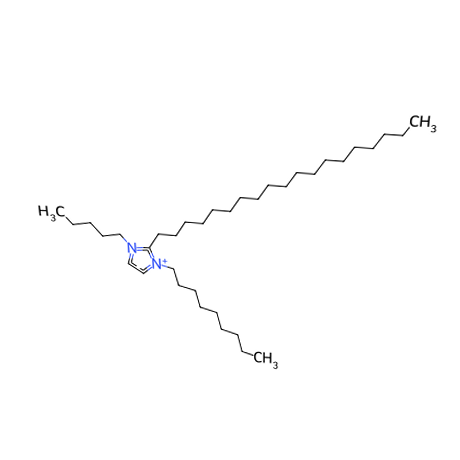 CCCCCCCCCCCCCCCCCCCc1n(CCCCC)cc[n+]1CCCCCCCCC